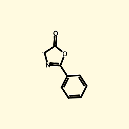 O=C1[CH]N=C(c2ccccc2)O1